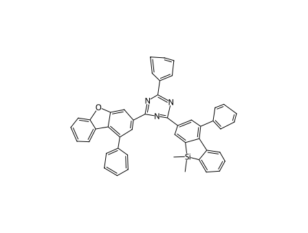 C[Si]1(C)c2ccccc2-c2c(-c3ccccc3)cc(-c3nc(-c4ccccc4)nc(-c4cc(-c5ccccc5)c5c(c4)oc4ccccc45)n3)cc21